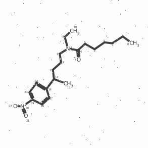 CCCCCCC(=O)N(CC)CCCC(C)c1ccc([N+](=O)[O-])cc1